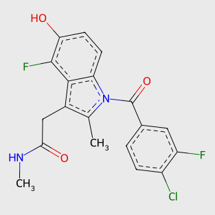 CNC(=O)Cc1c(C)n(C(=O)c2ccc(Cl)c(F)c2)c2ccc(O)c(F)c12